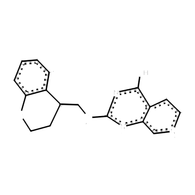 Oc1nc(OCC2CCOc3ccccc32)nc2cnccc12